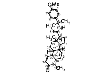 COc1ccc(C(C)(C)NC(=O)C2CC[C@H]3[C@@H]4CCC5N(C)C(=O)C=C[C@]5(C)[C@@H]4CC[C@]23C)cc1